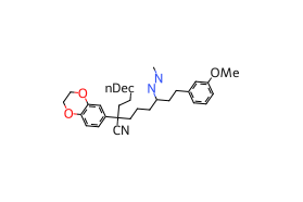 CCCCCCCCCCCCC(C#N)(CCCC(CCc1cccc(OC)c1)/N=N/C)c1ccc2c(c1)OCCO2